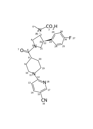 CN(C(=O)O)[C@H]1CN(C(=O)C2CCN(c3ccc(C#N)cn3)CC2)C[C@@H]1c1ccc(F)cc1